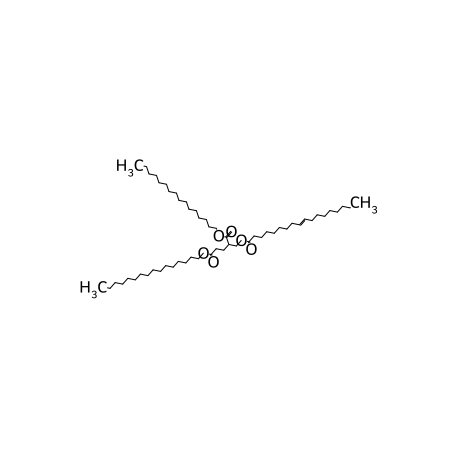 CCCCCCCCC=CCCCCCCCC(=O)OCC(CCC(=O)OCCCCCCCCCCCCCCCC)C(=O)OCCCCCCCCCCCCCCCC